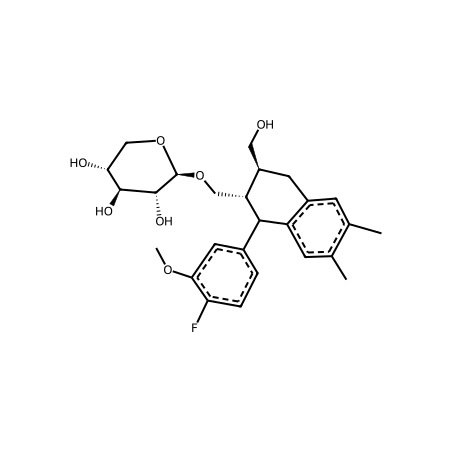 COc1cc(C2c3cc(C)c(C)cc3C[C@H](CO)[C@H]2CO[C@@H]2OC[C@@H](O)[C@H](O)[C@H]2O)ccc1F